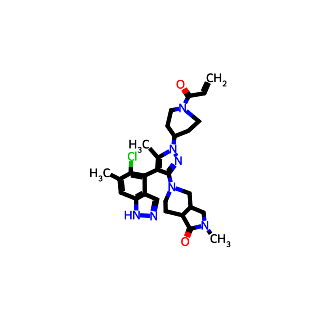 C=CC(=O)N1CCC(n2nc(N3CCC4C(=O)N(C)CC4C3)c(-c3c(Cl)c(C)cc4[nH]ncc34)c2C)CC1